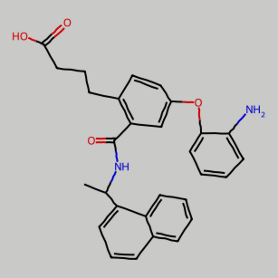 CC(NC(=O)c1cc(Oc2ccccc2N)ccc1CCCC(=O)O)c1cccc2ccccc12